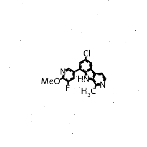 COc1ncc(-c2cc(Cl)cc3c2[nH]c2c(C)nccc23)cc1F